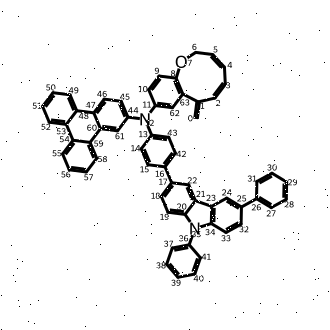 C=C1/C=C\C=C/COc2ccc(N(c3ccc(-c4ccc5c(c4)c4cc(-c6ccccc6)ccc4n5-c4ccccc4)cc3)c3ccc4c5ccccc5c5ccccc5c4c3)cc21